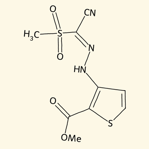 COC(=O)c1sccc1N/N=C(/C#N)S(C)(=O)=O